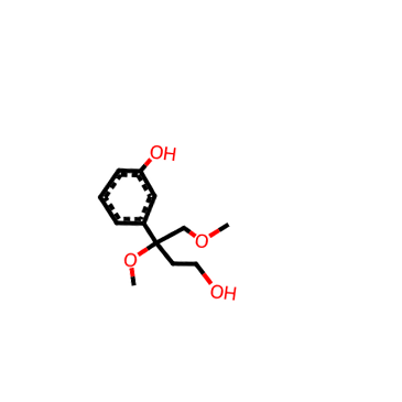 COCC(CCO)(OC)c1cccc(O)c1